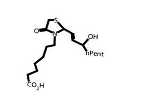 CCCCCC(O)C=CC1SCC(=O)N1CCCCCCC(=O)O